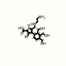 NCCNCc1[nH]c(C(=O)O)c(Br)c1-c1ccc(CO)c(CO)c1CO